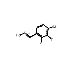 O/N=C/c1ccc(Cl)c(F)c1F